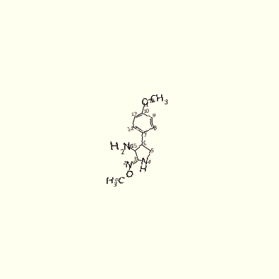 CO/N=C1\NCC(c2ccc(OC)cc2)C1N